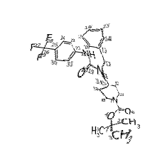 CC(C)(C)OC(=O)N1CCC(N(Cc2ccccc2)C(=O)Nc2ccc(C(F)(F)F)cc2)CC1